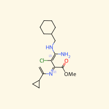 C=C(/N=C(C(=O)OC)\C(Cl)=C(/N)NCC1CCCCC1)C1CC1